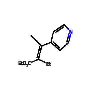 CCOC(=O)C(CC)=C(C)c1ccncc1